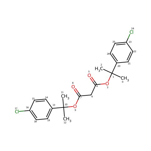 CC(C)(OC(=O)CC(=O)OC(C)(C)c1ccc(Cl)cc1)c1ccc(Cl)cc1